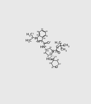 CC(C)n1nc(C(=O)N[C@H]2CC[C@@H](CC3(O)CCOCC3)N(C(=O)OC(C)(C)C)C2)c2ccccc21